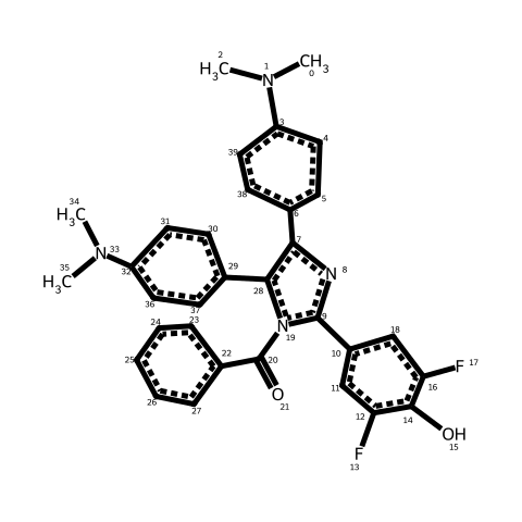 CN(C)c1ccc(-c2nc(-c3cc(F)c(O)c(F)c3)n(C(=O)c3ccccc3)c2-c2ccc(N(C)C)cc2)cc1